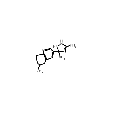 CN1CCc2ncc(C3(N)N=C(N)NN3)cc2C1